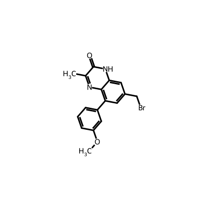 COc1cccc(-c2cc(CBr)cc3[nH]c(=O)c(C)nc23)c1